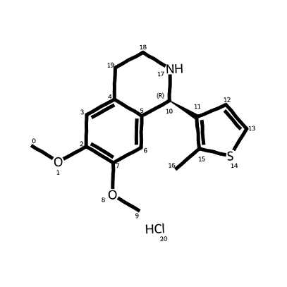 COc1cc2c(cc1OC)[C@H](c1ccsc1C)NCC2.Cl